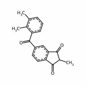 Cc1cccc(C(=O)c2ccc3c(c2)C(=O)C(C)C3=O)c1C